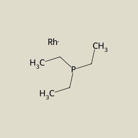 CCP(CC)CC.[Rh]